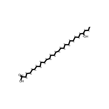 CCCC(O)CCCCCCCCCCCCCCCCCCCCCCCCC(=O)O